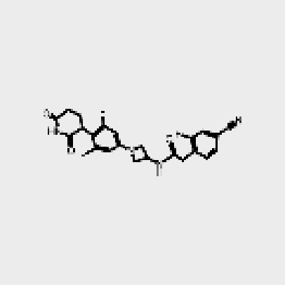 N#Cc1ccc(CC(=O)NC2CN(c3cc(F)c(C4CCC(=O)NC4=O)c(F)c3)C2)c(F)c1